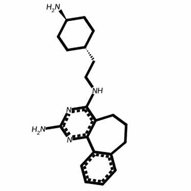 Nc1nc(NCC[C@H]2CC[C@H](N)CC2)c2c(n1)-c1ccccc1CCC2